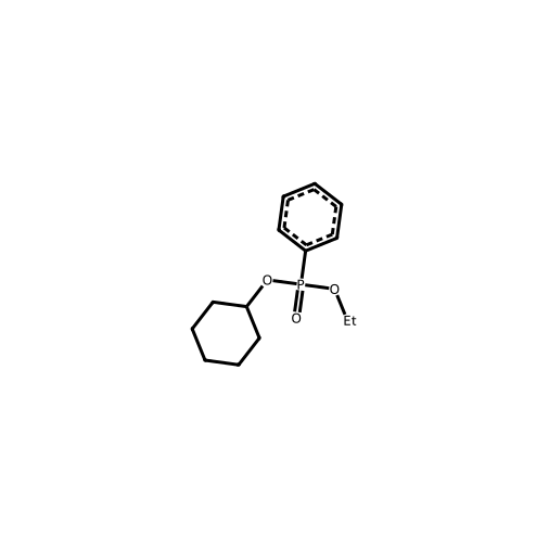 CCOP(=O)(OC1CCCCC1)c1ccccc1